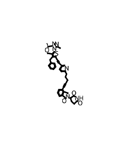 Cc1nnc2n1-c1sc(C#Cc3ccc(CCCC#Cc4cccc5c4CN(C4CCC(=O)NC4=O)C5=O)nc3)c(Cc3ccccc3)c1CO[C@H]2C